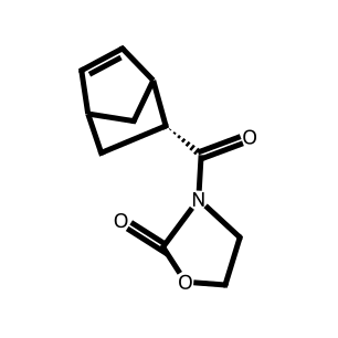 O=C1OCCN1C(=O)[C@@H]1CC2C=CC1C2